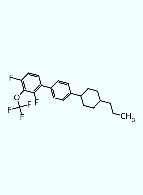 CCCC1CCC(c2ccc(-c3ccc(F)c(OC(F)(F)F)c3F)cc2)CC1